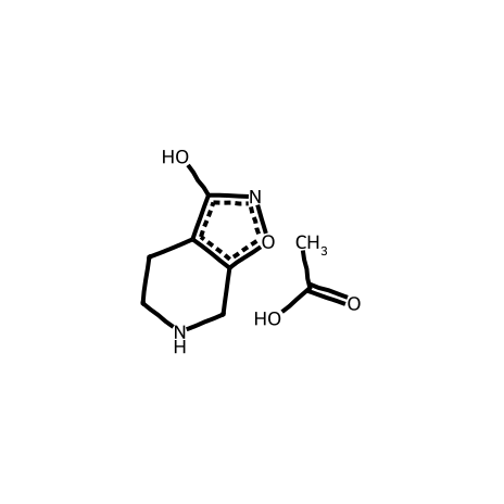 CC(=O)O.Oc1noc2c1CCNC2